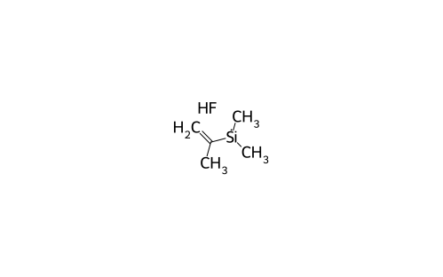 C=C(C)[Si](C)C.F